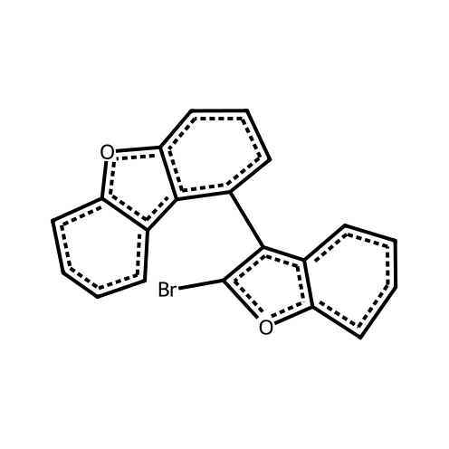 Brc1oc2ccccc2c1-c1cccc2oc3ccccc3c12